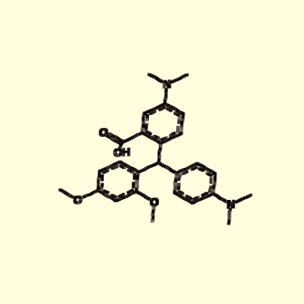 COc1ccc(C(c2ccc(N(C)C)cc2)c2ccc(N(C)C)cc2C(=O)O)c(OC)c1